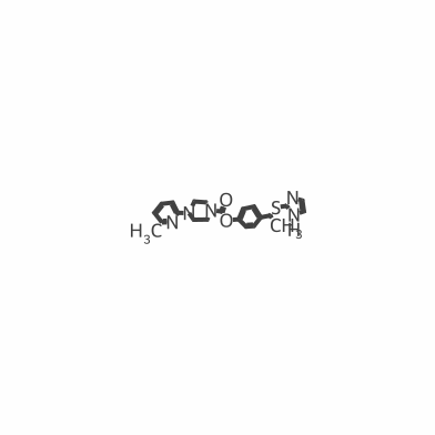 Cc1cccc(N2CCN(C(=O)Oc3ccc(C(C)Sc4ncc[nH]4)cc3)CC2)n1